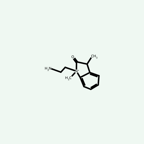 CC1C(=O)[N+](C)(CCN)c2ccccc21